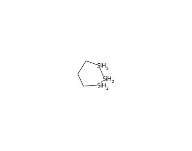 C1C[SiH2][SiH2][SiH2]C1